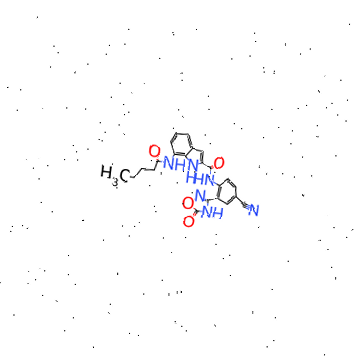 CCCCC(=O)Nc1cccc2cc(C(=O)Nc3ccc(C#N)cc3-c3noc(=O)[nH]3)[nH]c12